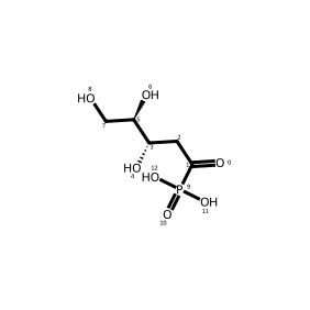 O=C(C[C@H](O)[C@H](O)CO)P(=O)(O)O